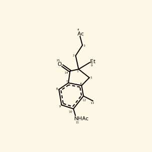 CCC1(CCC(C)=O)Cc2c(ccc(NC(C)=O)c2C)C1=O